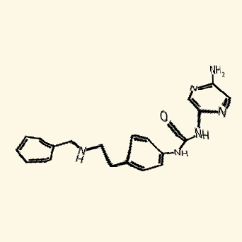 Nc1cnc(NC(=O)Nc2ccc(CCNCc3ccccc3)cc2)cn1